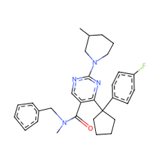 CC1CCCN(c2ncc(C(=O)N(C)Cc3ccccc3)c(C3(c4ccc(F)cc4)CCCC3)n2)C1